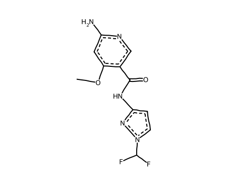 COc1cc(N)ncc1C(=O)Nc1ccn(C(F)F)n1